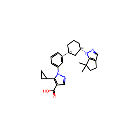 CC1(C)CCc2cnn([C@H]3CCC[C@@H](c4cccc(-n5ncc(C(=O)O)c5C5CC5)c4)C3)c21